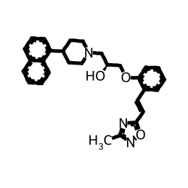 Cc1noc(/C=C/c2ccccc2OC[C@@H](O)CN2CCC(c3cccc4ccccc34)CC2)n1